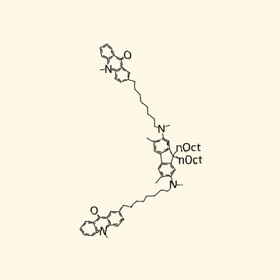 CCCCCCCCC1(CCCCCCCC)c2cc(N(C)CCCCCCCCc3ccc4c(c3)c(=O)c3ccccc3n4C)c(C)cc2-c2cc(C)c(N(C)CCCCCCCCc3ccc4c(c3)c(=O)c3ccccc3n4C)cc21